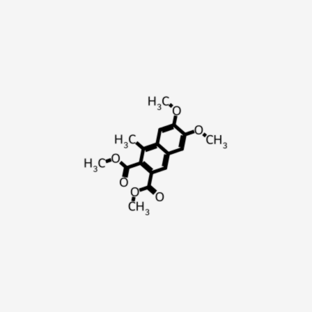 COC(=O)c1cc2cc(OC)c(OC)cc2c(C)c1C(=O)OC